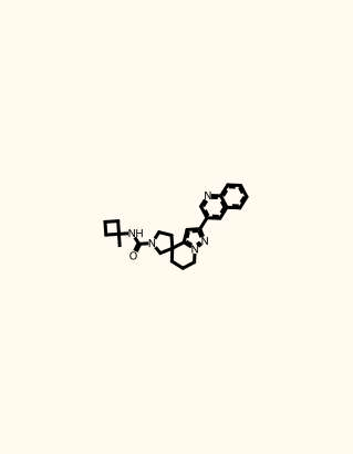 CC1(NC(=O)N2CCC3(CCCn4nc(-c5cnc6ccccc6c5)cc43)C2)CCC1